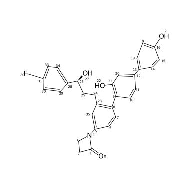 O=C1CCN1c1ccc(-c2ccc(-c3ccc(O)cc3)cc2O)c(CC[C@H](O)c2ccc(F)cc2)c1